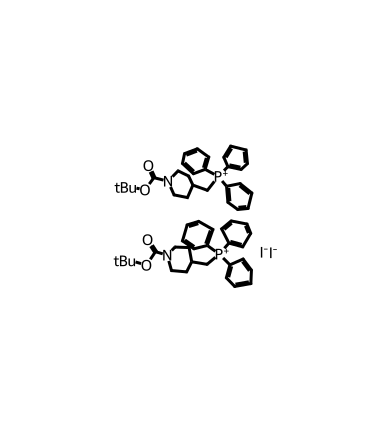 CC(C)(C)OC(=O)N1CCC(C[P+](c2ccccc2)(c2ccccc2)c2ccccc2)CC1.CC(C)(C)OC(=O)N1CCC(C[P+](c2ccccc2)(c2ccccc2)c2ccccc2)CC1.[I-].[I-]